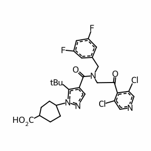 CC(C)(C)c1c(C(=O)N(CC(=O)c2c(Cl)cncc2Cl)Cc2cc(F)cc(F)c2)cnn1C1CCC(C(=O)O)CC1